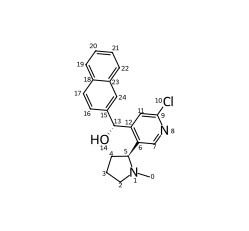 CN1CCC[C@H]1c1cnc(Cl)cc1[C@H](O)c1ccc2ccccc2c1